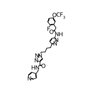 O=C(Cc1cc(OC(F)(F)F)ccc1F)Nc1ccc(CCCCn2cc(C(=O)NCc3ccncc3)nn2)nn1